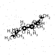 C=CC(=O)OCC(O)CC(CC)(CC)Oc1c(C)cc(C(C)(C)c2cc(C)c(OCC(O)CC(CC)(CC)OC(=O)C=C)c(Cl)c2)cc1Cl